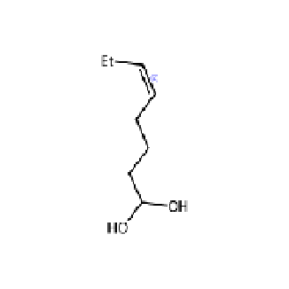 CC/C=C\CCCC(O)O